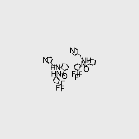 O=C(Nc1cccc(C(F)(F)F)c1)c1ccccc1NCCc1cccnc1.O=C(c1ccccc1)N(NCCc1ccncc1)c1cccc(C(F)(F)F)c1